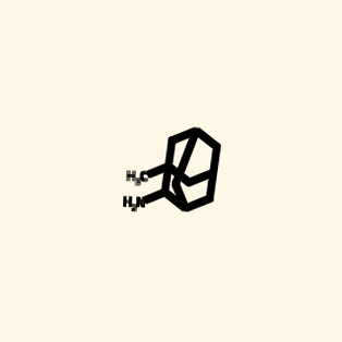 CC12CC3CC(CC(C3)C1N)C2